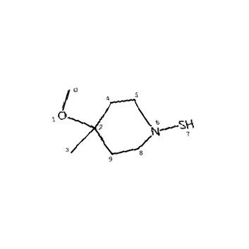 COC1(C)CCN(S)CC1